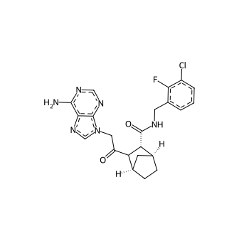 Nc1ncnc2c1ncn2CC(=O)C1[C@@H]2CC[C@@H](C2)[C@H]1C(=O)NCc1cccc(Cl)c1F